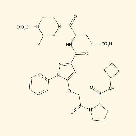 CCOC(=O)N1CCN(C(=O)C(CCC(=O)O)NC(=O)c2cc(OCC(=O)N3CCCC3C(=O)NC3CCC3)n(-c3ccccc3)n2)CC1C